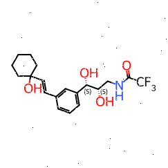 O=C(NC[C@H](O)[C@@H](O)c1cccc(C=CC2(O)CCCCC2)c1)C(F)(F)F